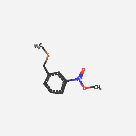 CO[N+](=O)c1cccc(CSC)c1